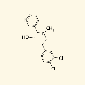 CN(CCc1ccc(Cl)c(Cl)c1)[C@H](CO)c1cccnc1